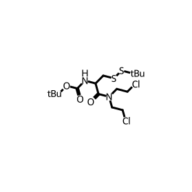 CC(C)(C)OC(=O)NC(CSSC(C)(C)C)C(=O)N(CCCl)CCCl